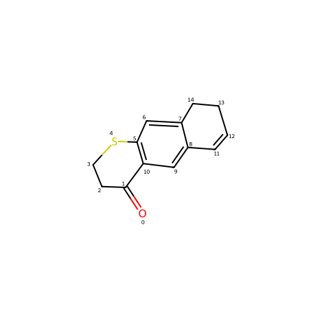 O=C1CCSc2cc3c(cc21)C=CCC3